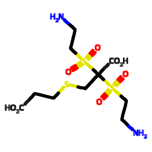 NCCS(=O)(=O)C(CSCCC(=O)O)(C(=O)O)S(=O)(=O)CCN